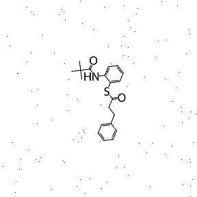 CC(C)(C)C(=O)Nc1ccccc1SC(=O)CCc1ccccc1